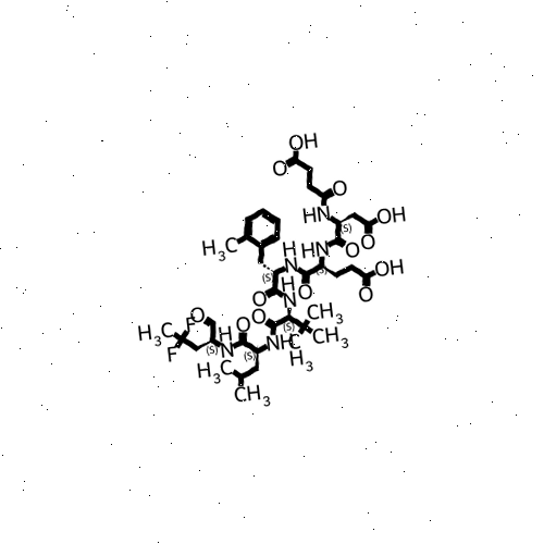 Cc1ccccc1C[C@H](NC(=O)[C@H](CCC(=O)O)NC(=O)[C@H](CC(=O)O)NC(=O)CCC(=O)O)C(=O)N[C@H](C(=O)N[C@@H](CC(C)C)C(=O)N[C@H](C=O)CC(C)(F)F)C(C)(C)C